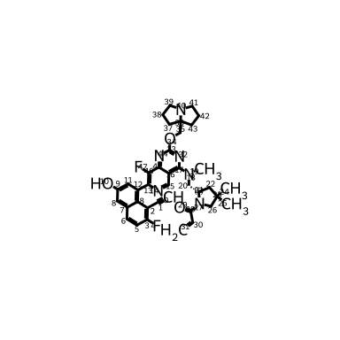 C#Cc1c(F)ccc2cc(O)cc(-c3ncc4c(N(C)C[C@@H]5CC(C)(C)CN5C(=O)C=C)nc(OCC56CCCN5CCC6)nc4c3F)c12